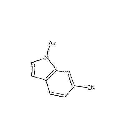 CC(=O)n1ccc2ccc(C#N)cc21